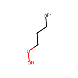 C[CH]CCCCOO